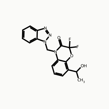 CC(O)c1cccc2c1OC(F)(F)C(=O)N2Cn1nnc2ccccc21